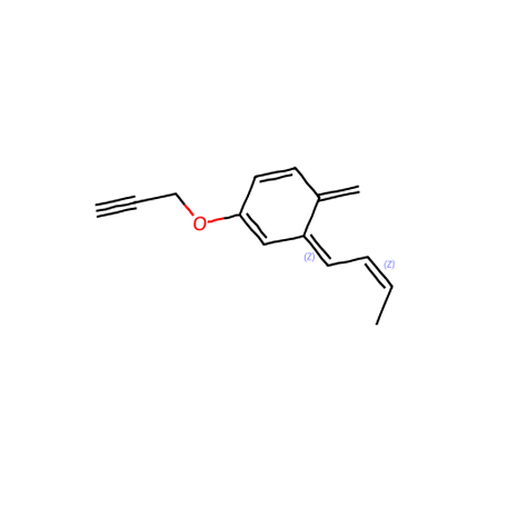 C#CCOc1ccc(=C)/c(=C\C=C/C)c1